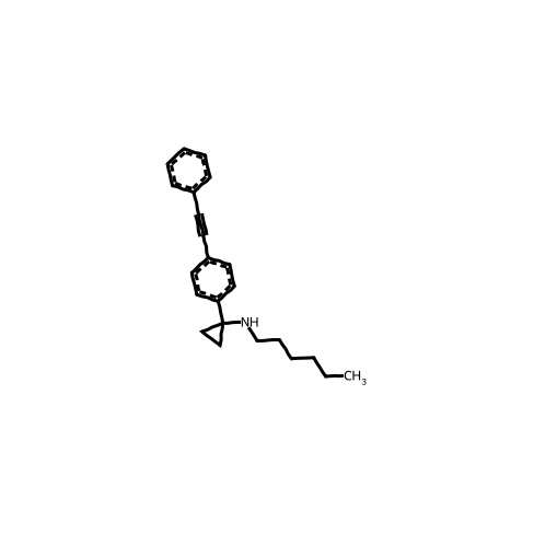 CCCCCCNC1(c2ccc(C#Cc3ccccc3)cc2)CC1